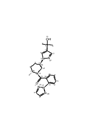 C[C@@H]1CC[C@@H](n2cc(C(C)(C)O)cn2)CN1C(=O)c1ccccc1-n1nccn1